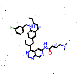 CCC/C=C\c1cc(CC(CC)c2ncnc3cnc(NC(=O)/C=C/CN(C)C)cc23)ccc1NCc1cccc(F)c1